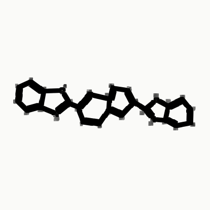 c1ccc2oc(-c3ccc4cc(-c5nc6ccccc6o5)ccc4c3)nc2c1